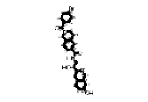 O=C(NC[C@@H](O)C1Cc2ccc(O)cc2C=N1)c1ccc2c(c1)CCN(C(=O)c1ccc(Br)cc1)C2